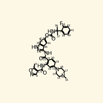 Cc1oncc1C(=O)Nc1cc(N2CCN(C)CC2)ccc1C(=O)Nc1n[nH]c2sc(OC(=O)NC(C)(C)c3ccccc3F)cc12